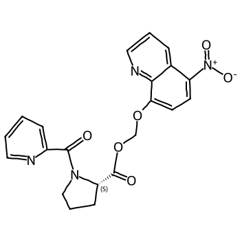 O=C(OCOc1ccc([N+](=O)[O-])c2cccnc12)[C@@H]1CCCN1C(=O)c1ccccn1